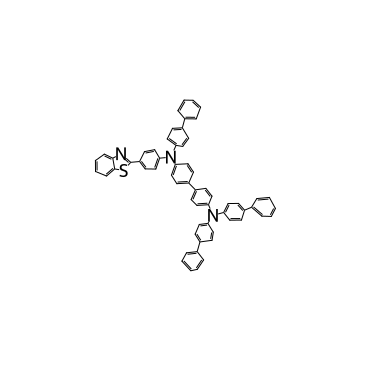 c1ccc(-c2ccc(N(c3ccc(-c4ccccc4)cc3)c3ccc(-c4ccc(N(c5ccc(-c6ccccc6)cc5)c5ccc(-c6nc7ccccc7s6)cc5)cc4)cc3)cc2)cc1